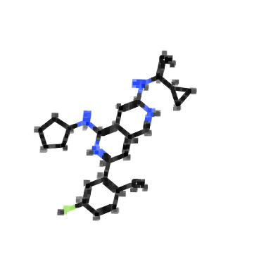 C=C(Nc1cc2c(NC3CCCC3)nc(-c3cc(F)ccc3C)cc2cn1)C1CC1